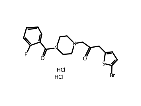 Cl.Cl.O=C(Cc1ccc(Br)s1)CN1CCN(C(=O)c2ccccc2F)CC1